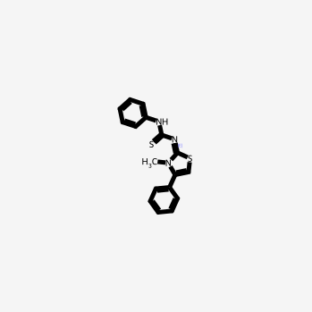 Cn1c(-c2ccccc2)cs/c1=N/C(=S)Nc1ccccc1